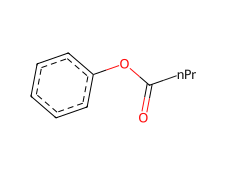 C[CH]CC(=O)Oc1ccccc1